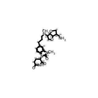 CN(CCCc1ccc2c(c1)n(C)c(=O)n2C1CCC(=O)NC1=O)C1COC2C(CN)COC21